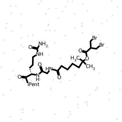 CCCC(C)C(=O)[C@H](CCCNC(N)=O)NC(=O)CNC(=O)CCCCC(C)(C)OC(=O)C(CBr)CBr